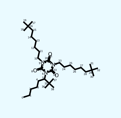 CCCCCC(n1c(=O)n(CCCCCCC(C)(C)C)c(=O)n(CCCCCCC(C)(C)C)c1=O)C(C)(C)C